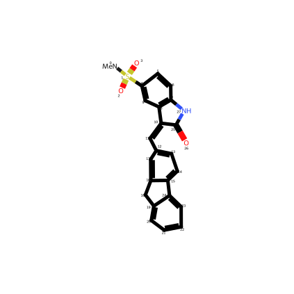 CNS(=O)(=O)c1ccc2c(c1)C(=Cc1ccc3c(c1)Cc1ccccc1-3)C(=O)N2